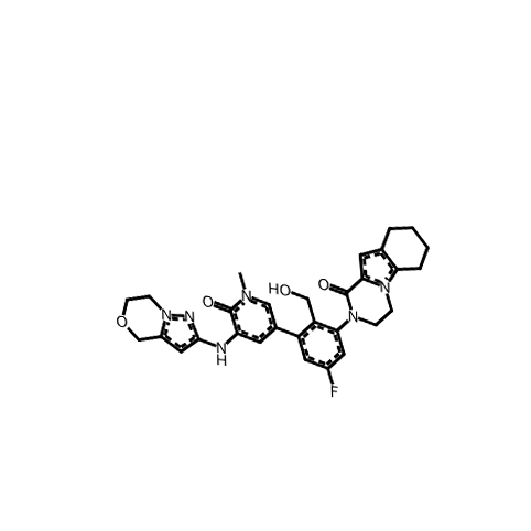 Cn1cc(-c2cc(F)cc(N3CCn4c(cc5c4CCCC5)C3=O)c2CO)cc(Nc2cc3n(n2)CCOC3)c1=O